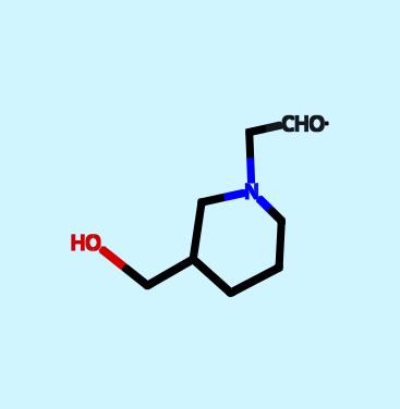 O=[C]CN1CCCC(CO)C1